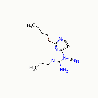 CCCCSc1nccc(N(C#N)C(N)=NCCC)n1